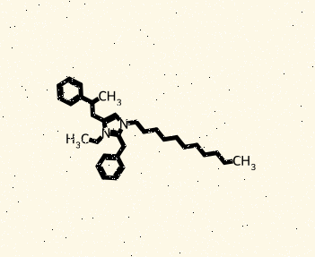 CCCCCCCCCCCn1cc(CC(C)c2ccccc2)[n+](CC)c1Cc1ccccc1